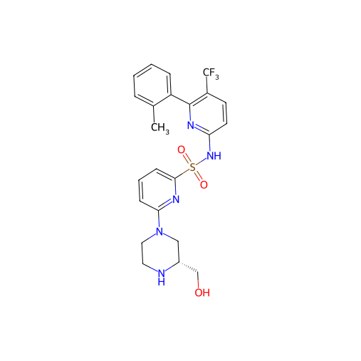 Cc1ccccc1-c1nc(NS(=O)(=O)c2cccc(N3CCN[C@@H](CO)C3)n2)ccc1C(F)(F)F